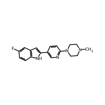 CN1CCN(c2ccc(-c3cc4cc(F)ccc4[nH]3)cn2)CC1